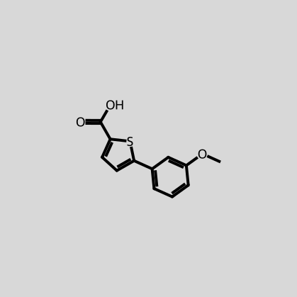 COc1cccc(-c2ccc(C(=O)O)s2)c1